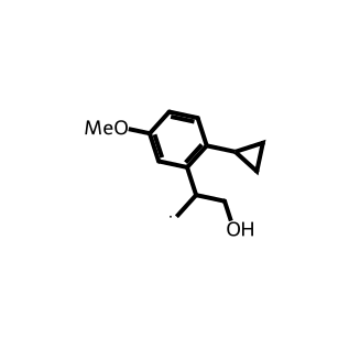 [CH2]C(CO)c1cc(OC)ccc1C1CC1